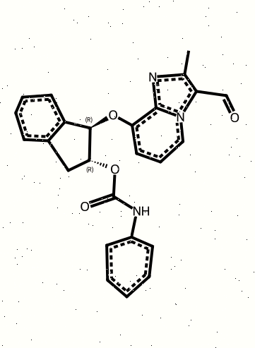 Cc1nc2c(O[C@@H]3c4ccccc4C[C@H]3OC(=O)Nc3ccccc3)cccn2c1C=O